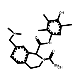 Cc1cc(NC(=O)C2c3cc(CN(C)C)ccc3CCN2C(=O)C(C)(C)C)c(C)c(C)c1O.Cl